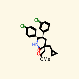 COC(=O)C[C@]1(CC2CC2)C[C@H](c2cccc(Cl)c2)[C@@H](c2ccc(Cl)cc2)NC1=O